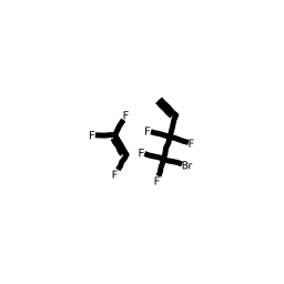 C=CC(F)(F)C(F)(F)Br.FC=C(F)F